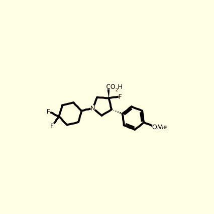 COc1ccc([C@@H]2CN(C3CCC(F)(F)CC3)C[C@@]2(F)C(=O)O)cc1